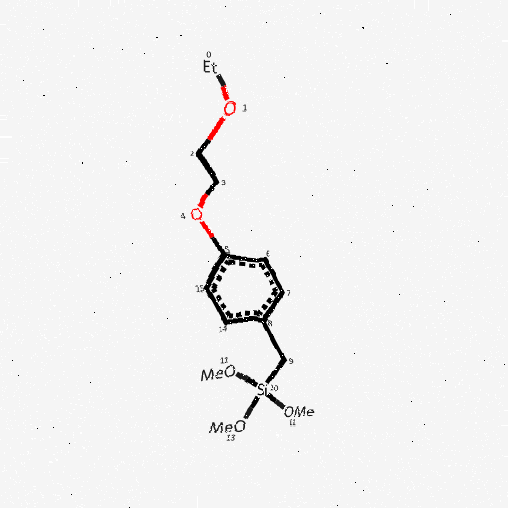 CCOCCOc1ccc(C[Si](OC)(OC)OC)cc1